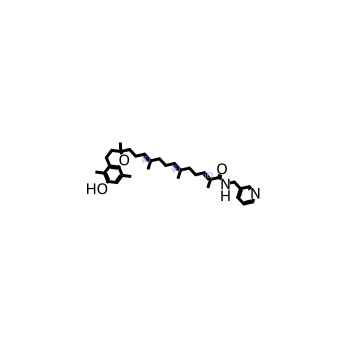 C/C(=C\CC/C(C)=C/CCC1(C)CCc2c(C)c(O)cc(C)c2O1)CC/C=C(\C)C(=O)NCc1cccnc1